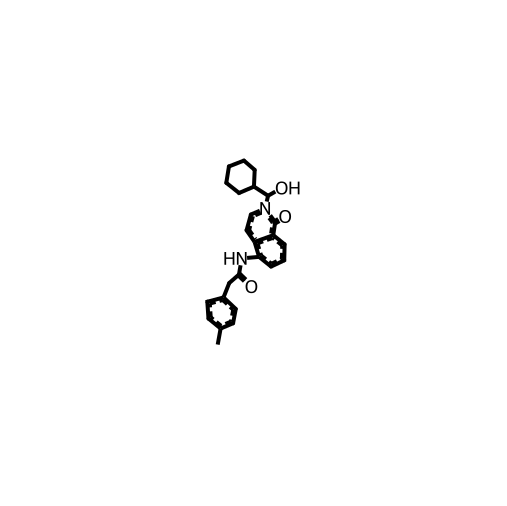 Cc1ccc(CC(=O)Nc2cccc3c(=O)n(C(O)C4CCCCC4)ccc23)cc1